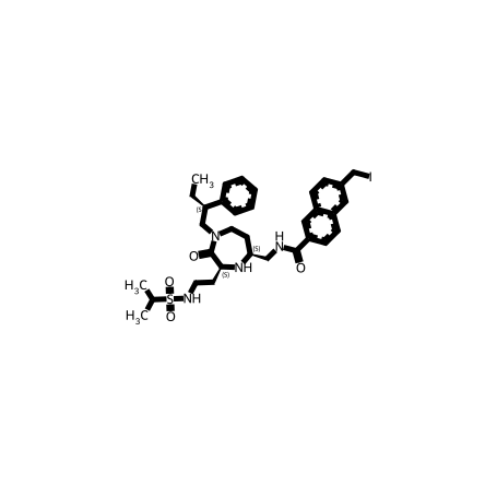 CC[C@H](CN1CC[C@@H](CNC(=O)c2ccc3cc(CI)ccc3c2)N[C@@H](CCNS(=O)(=O)C(C)C)C1=O)c1ccccc1